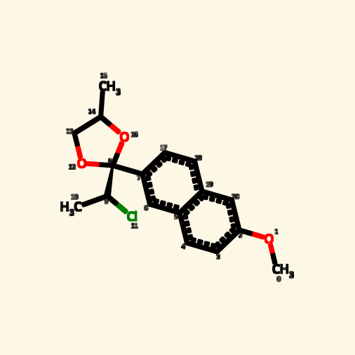 COc1ccc2cc([C@]3(C(C)Cl)OCC(C)O3)ccc2c1